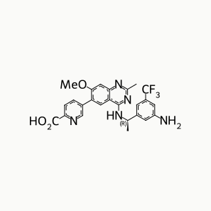 COc1cc2nc(C)nc(N[C@H](C)c3cc(N)cc(C(F)(F)F)c3)c2cc1-c1ccc(C(=O)O)nc1